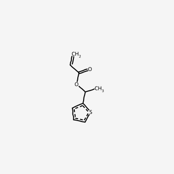 C=CC(=O)OC(C)c1cccs1